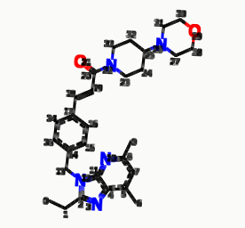 CCc1nc2c(C)cc(C)nc2n1Cc1ccc(C=CC(=O)N2CCC(N3CCOCC3)CC2)cc1